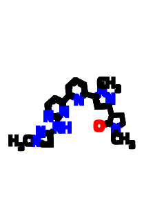 CN1CCC(c2cc(-c3cccc(-c4ccnc(Nc5ccn(C)n5)n4)n3)n(C)n2)C1=O